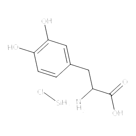 NC(Cc1ccc(O)c(O)c1)C(=O)O.[SiH3]Cl